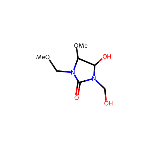 COCN1C(=O)N(CO)C(O)C1OC